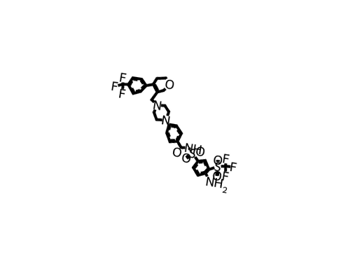 Nc1ccc(S(=O)(=O)NC(=O)c2ccc(N3CCN(CC4=C(c5ccc(C(F)(F)F)cc5)CCOC4)CC3)cc2)cc1S(=O)(=O)C(F)(F)F